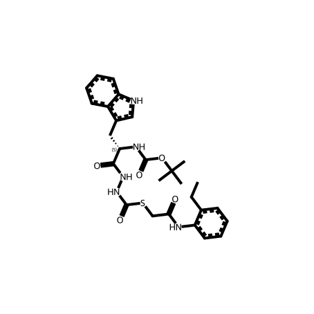 CCc1ccccc1NC(=O)CSC(=O)NNC(=O)[C@H](Cc1c[nH]c2ccccc12)NC(=O)OC(C)(C)C